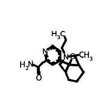 CCCN1CC2CCCC(C1)C2(OC)c1ccnc(C(N)=O)c1